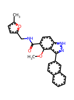 COc1c(C(=O)NCc2ccc(C)o2)ccc2[nH]nc(-c3ccc4ccccc4c3)c12